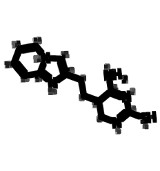 NC1=NC(S)=NCC1CCc1cn2ccccc2n1